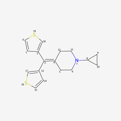 c1cc(C(=C2CCN(C3CC3)CC2)c2ccsc2)cs1